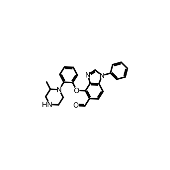 CC1CNCCN1c1ccccc1Oc1c(C=O)ccc2c1ncn2-c1ccccc1